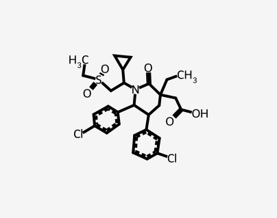 CCC1(CC(=O)O)CC(c2cccc(Cl)c2)C(c2ccc(Cl)cc2)N(C(CS(=O)(=O)CC)C2CC2)C1=O